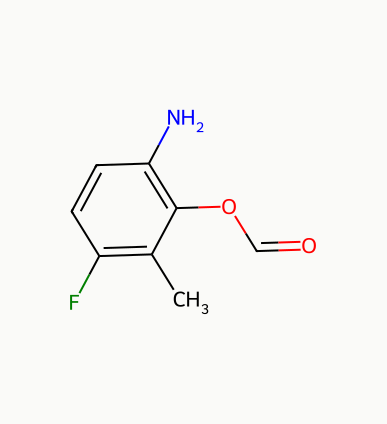 Cc1c(F)ccc(N)c1OC=O